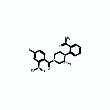 CC[C@@H]1CN(C(=O)c2ccc(F)cc2N(C)CC)CCN1c1ccccc1C(N)=O